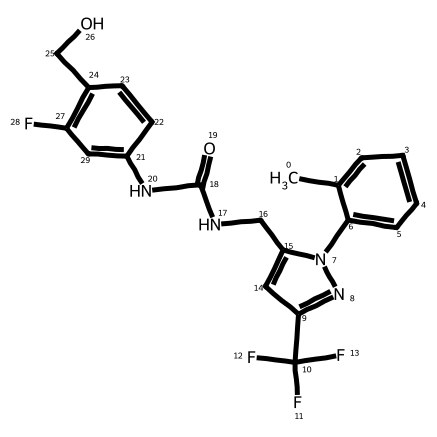 Cc1ccccc1-n1nc(C(F)(F)F)cc1CNC(=O)Nc1ccc(CO)c(F)c1